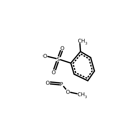 COP=O.Cc1ccccc1S([O])(=O)=O